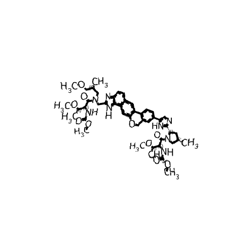 COC[C@@H](C)CN(Cc1nc2ccc3cc4c(cc3c2[nH]1)OCc1cc(-c2cnc([C@@H]3C[C@H](C)CN3C(=O)[C@@H](NC(=O)OC)[C@@H](C)OC)[nH]2)ccc1-4)C(=O)[C@@H](NC(=O)OC)[C@@H](C)OC